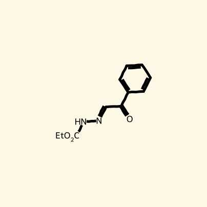 CCOC(=O)NN=CC(=O)c1ccccc1